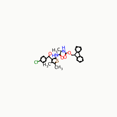 Cc1sc(NC(=O)[C@H](C)NC(=O)OCC2c3ccccc3-c3ccccc32)c(C(=O)c2ccc(Cl)cc2)c1C